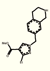 CCc1nn(Cc2ccc3c(c2)CNCC3)cc1C(=O)OC